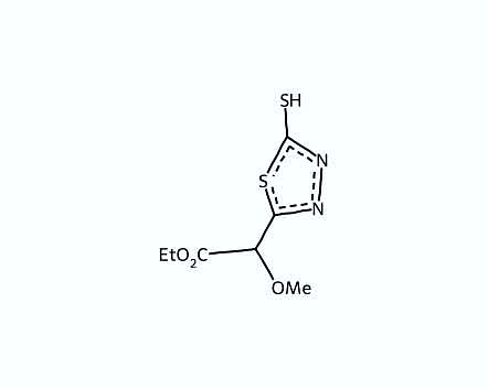 CCOC(=O)C(OC)c1nnc(S)s1